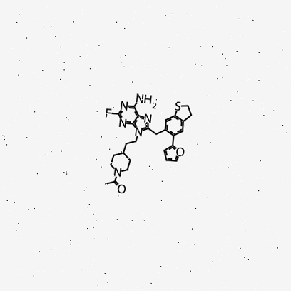 CC(=O)N1CCC(CCn2c(Cc3cc4c(cc3-c3ccco3)CCS4)nc3c(N)nc(F)nc32)CC1